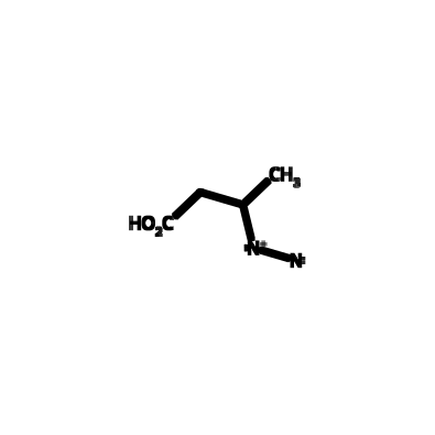 CC(CC(=O)O)[N+][N]